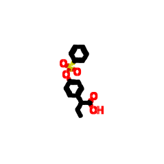 CCC(C(=O)O)c1ccc(OS(=O)(=O)c2ccccc2)cc1